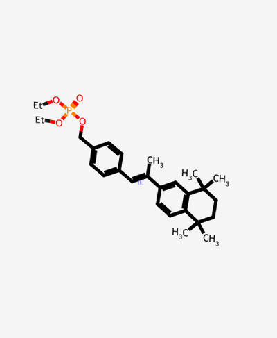 CCOP(=O)(OCC)OCc1ccc(/C=C(\C)c2ccc3c(c2)C(C)(C)CCC3(C)C)cc1